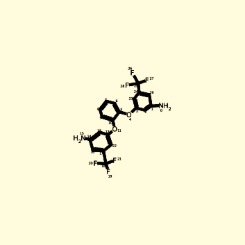 Nc1cc(Oc2ccccc2Oc2cc(N)cc(C(F)(F)F)c2)cc(C(F)(F)F)c1